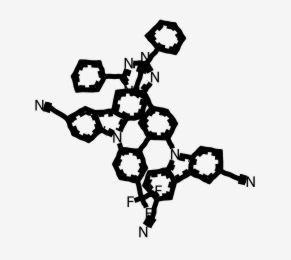 N#Cc1ccc2c(c1)c1cc(C#N)ccc1n2-c1ccc(-c2nc(-c3ccccc3)nc(-c3ccccc3)n2)cc1-c1cc(C(F)(F)F)ccc1-n1c2ccc(C#N)cc2c2cc(C#N)ccc21